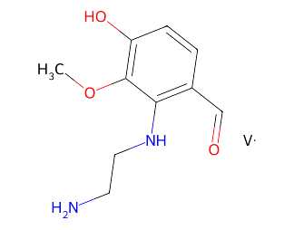 COc1c(O)ccc(C=O)c1NCCN.[V]